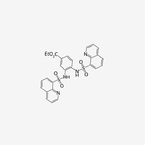 CCOC(=O)c1ccc(NS(=O)(=O)c2cccc3cccnc23)c(NS(=O)(=O)c2cccc3cccnc23)c1